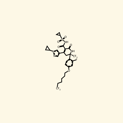 O=C1N[C@@](c2ccc(OCCCCCC(F)(F)F)cc2F)(C(F)(F)F)CC(c2cnn(C3CC3)c2)=C1C(=O)NS(=O)(=O)C1CC1